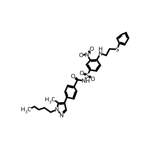 CCCCCn1ncc(-c2ccc(C(=O)NS(=O)(=O)c3ccc(NCCSc4ccccc4)c([N+](=O)[O-])c3)cc2)c1C